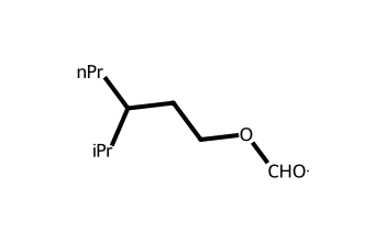 CCCC(CCO[C]=O)C(C)C